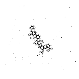 Cc1c(-c2ccc(CN3CCCC3)c(Cl)c2)cccc1-c1cccc(-c2nc3cc(CN4CCC[C@H]4C(=O)O)c(OC(F)F)cc3o2)c1C